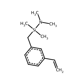 C=Cc1cccc(C[Si](C)(C)N(C)C)c1